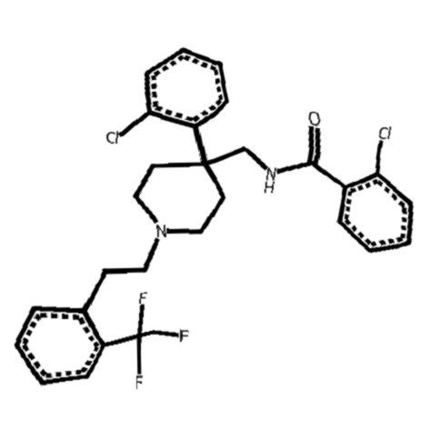 O=C(NCC1(c2ccccc2Cl)CCN(CCc2ccccc2C(F)(F)F)CC1)c1ccccc1Cl